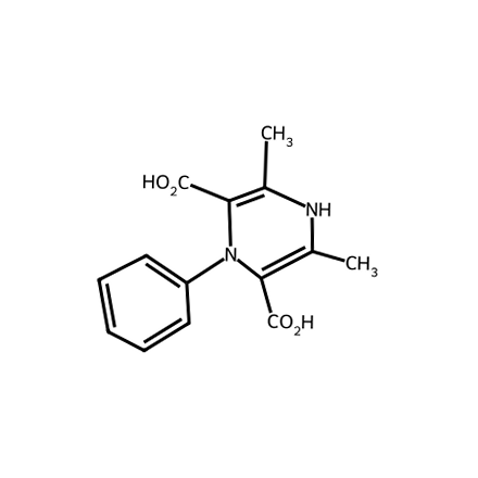 CC1=C(C(=O)O)N(c2ccccc2)C(C(=O)O)=C(C)N1